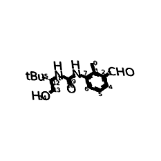 Cc1c(C=O)cccc1NC(=O)N[C@H](CO)C(C)(C)C